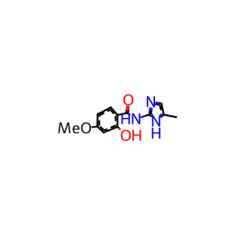 COc1ccc(C(=O)Nc2ncc(C)[nH]2)c(O)c1